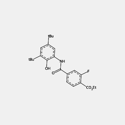 CCOC(=O)c1ccc(C(=O)Nc2cc(C(C)(C)C)cc(C(C)(C)C)c2O)cc1F